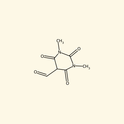 CN1C(=O)C(C=O)C(=O)N(C)C1=O